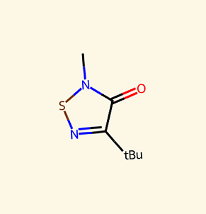 Cn1snc(C(C)(C)C)c1=O